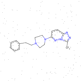 FC(F)(F)c1nnc2ccc(N3CCN(CCc4ccccc4)CC3)nn12